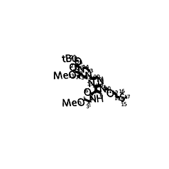 COC[C@@H](C)NC(=O)c1cn(COCCS(C)(C)C)c2ncc(N3CCN(C(=O)OC(C)(C)C)C(C)(COC)C3)nc12